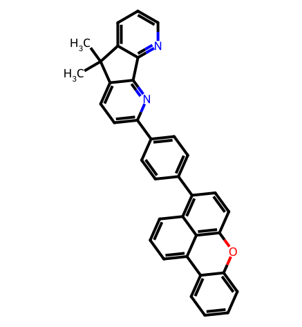 CC1(C)c2cccnc2-c2nc(-c3ccc(-c4ccc5c6c(cccc46)-c4ccccc4O5)cc3)ccc21